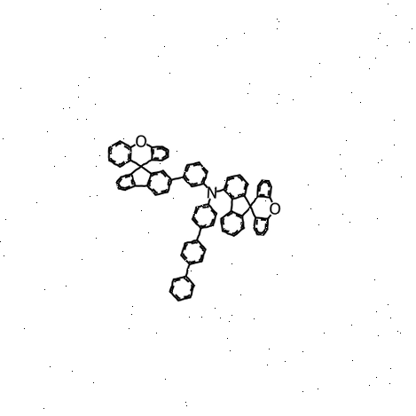 c1ccc(-c2ccc(-c3ccc(N(c4cccc(-c5ccc6c(c5)C5(c7ccccc7Oc7ccccc75)c5ccccc5-6)c4)c4cccc5c4-c4ccccc4C54c5ccccc5Oc5ccccc54)cc3)cc2)cc1